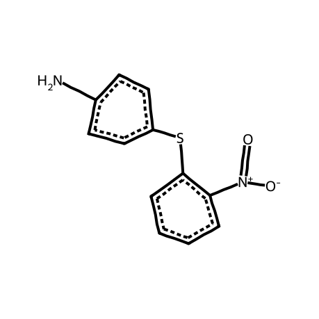 Nc1ccc(Sc2ccccc2[N+](=O)[O-])cc1